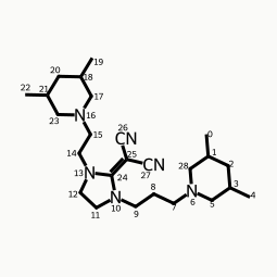 CC1CC(C)CN(CCCN2CCN(CCN3CC(C)CC(C)C3)C2=C(C#N)C#N)C1